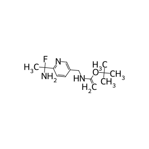 C=C(NCc1ccc(C(C)(N)F)nc1)OC(C)(C)C